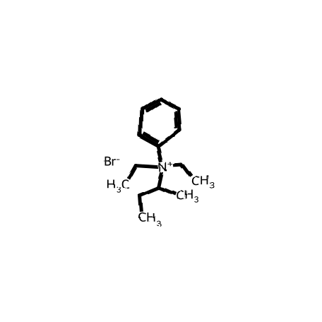 CCC(C)[N+](CC)(CC)c1ccccc1.[Br-]